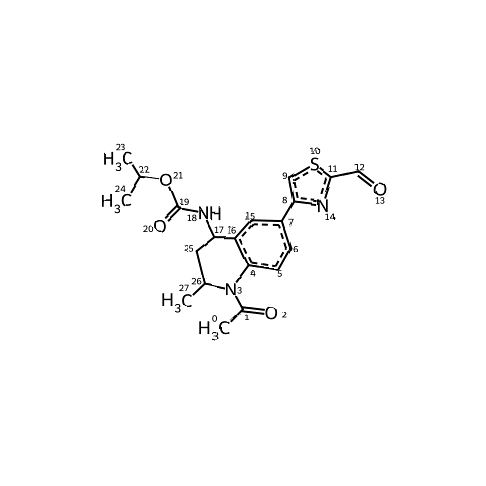 CC(=O)N1c2ccc(-c3csc(C=O)n3)cc2C(NC(=O)OC(C)C)CC1C